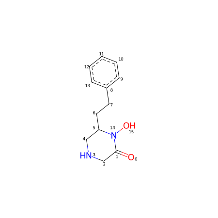 O=C1CNCC(CCc2ccccc2)N1O